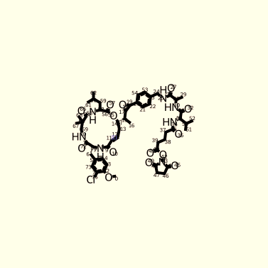 COc1ccc(C[C@H]2NC(=O)/C=C/C[C@@H](C(C)C3OC3c3ccc(CNC(=O)C(C)NC(=O)[C@@H](NC(=O)CCCC(=O)ON4C(=O)CCC4=O)C(C)C)cc3)OC(=O)C(CC(C)C)NC(=O)C(C)(C)CNC2=O)cc1Cl